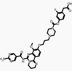 COc1c(OCCCN2CCN(C(=O)Oc3ccc(CC(=O)O)c(F)c3)CC2)ccc2c1N=C(NC(=O)c1cnc(N)nc1)N1CCCN=C21